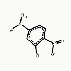 CN(C)c1ccc([N+](=O)[O-])c(Cl)n1